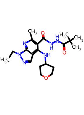 CCn1ncc2c(NC3CCOCC3)c(C(=O)NNC(=O)C(C)(C)C)c(C)nc21